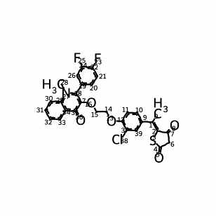 C/C(=C1/SC(=O)CC1=O)c1ccc(OCCOc2c(-c3ccc(F)c(F)c3)n(C)c3ccccc3c2=O)c(Cl)c1